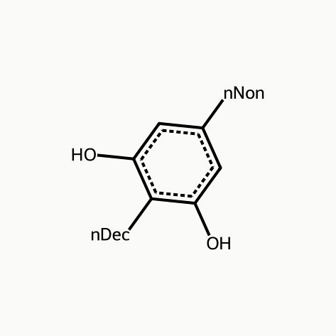 CCCCCCCCCCc1c(O)cc(CCCCCCCCC)cc1O